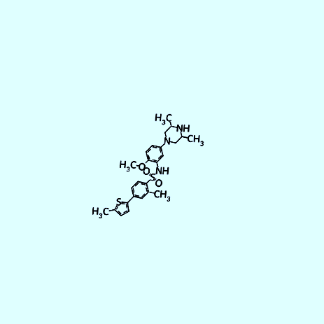 COc1ccc(N2CC(C)NC(C)C2)cc1NS(=O)(=O)c1ccc(-c2ccc(C)s2)cc1C